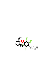 CCc1cccc(C(C)C)c1Oc1c(F)c(F)c(S(=O)(=O)O)c(F)c1F